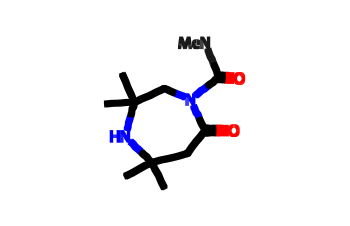 CNC(=O)N1CC(C)(C)NC(C)(C)CC1=O